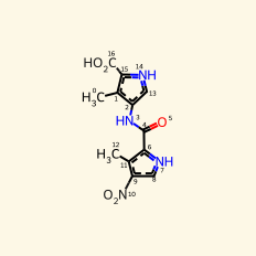 Cc1c(NC(=O)c2[nH]cc([N+](=O)[O-])c2C)c[nH]c1C(=O)O